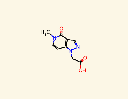 Cn1ccc2c(cnn2CC(=O)O)c1=O